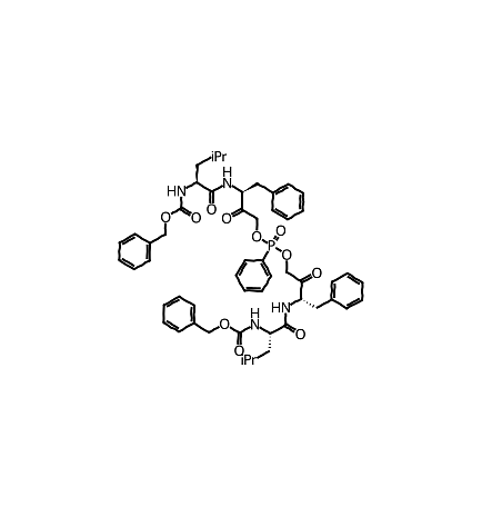 CC(C)C[C@H](NC(=O)OCc1ccccc1)C(=O)N[C@@H](Cc1ccccc1)C(=O)COP(=O)(OCC(=O)[C@H](Cc1ccccc1)NC(=O)[C@H](CC(C)C)NC(=O)OCc1ccccc1)c1ccccc1